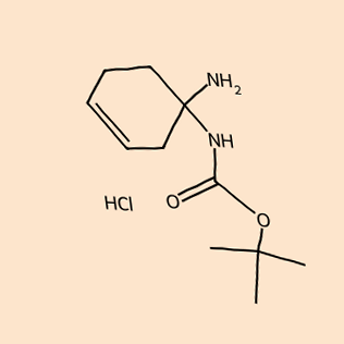 CC(C)(C)OC(=O)NC1(N)CC=CCC1.Cl